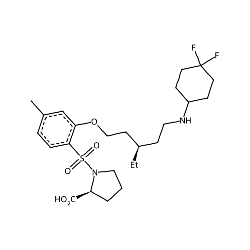 CC[C@H](CCNC1CCC(F)(F)CC1)CCOc1cc(C)ccc1S(=O)(=O)N1CCC[C@H]1C(=O)O